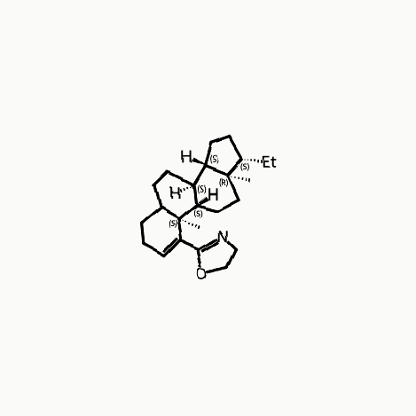 CC[C@H]1CC[C@H]2[C@@H]3CCC4CCC=C(C5=NCCO5)[C@]4(C)[C@H]3CC[C@]12C